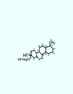 CCCCCCCC1(C#N)CCC2C(CCC3C4CCCC(CCC)C4CCC23)C1